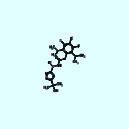 CC(C)c1c(F)c(Cl)c(F)c(C(C)C)c1CC(=O)N[S+]([O-])c1cc(C(C)(C)O)cs1